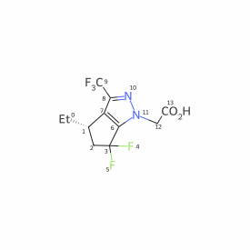 CC[C@H]1CC(F)(F)c2c1c(C(F)(F)F)nn2CC(=O)O